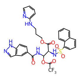 O=C(NC(OC(=O)C(F)(F)F)[C@H](NS(=O)(=O)c1cccc2ccccc12)C(=O)OCCCNc1ccccn1)c1ccc2[nH]ncc2c1